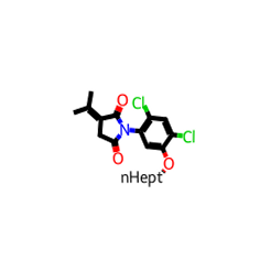 CCCCCCCOc1cc(N2C(=O)CC(=C(C)C)C2=O)c(Cl)cc1Cl